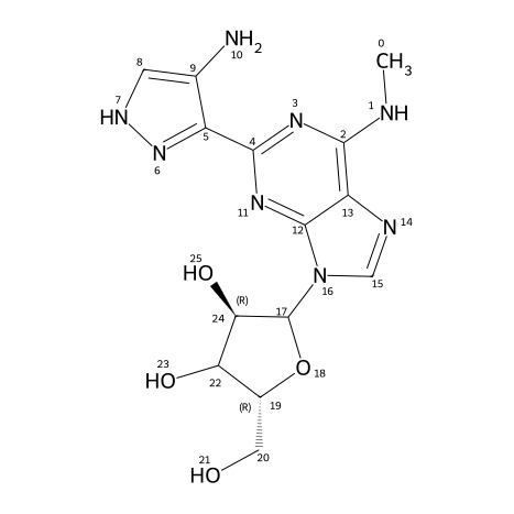 CNc1nc(-c2n[nH]cc2N)nc2c1ncn2C1O[C@H](CO)C(O)[C@H]1O